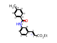 CCOC(=O)/C=C/c1cccc(NC(=O)c2ccc(C)cc2)c1